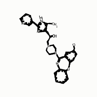 Cc1[nH]c(-c2cccnc2)nc1C(O)CN1CCN(C2=Nc3ccccc3Oc3ccc(Cl)cc32)CC1